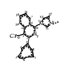 Clc1c(-c2ccccc2)nc(-n2ccnc2)c2ccccc12